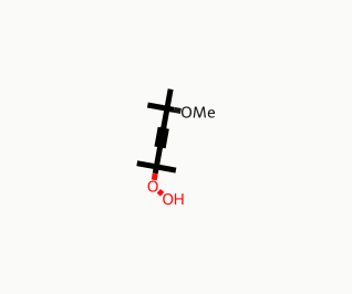 COC(C)(C)C#CC(C)(C)OO